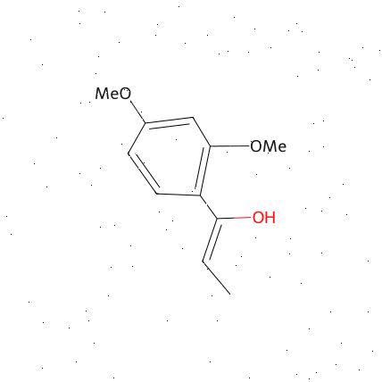 CC=C(O)c1ccc(OC)cc1OC